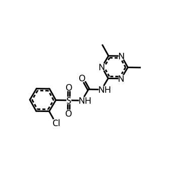 Cc1nc(C)nc(NC(=O)NS(=O)(=O)c2ccccc2Cl)n1